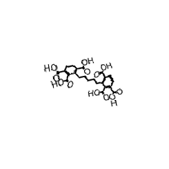 O=C(O)c1ccc(C(=O)O)c(C(=O)O)c1CCCCCc1c(C(=O)O)ccc(C(=O)O)c1C(=O)O